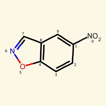 O=[N+]([O-])c1ccc2oncc2c1